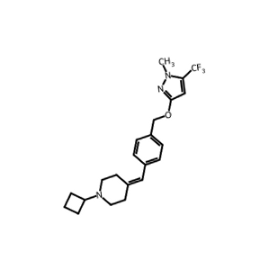 Cn1nc(OCc2ccc(C=C3CCN(C4CCC4)CC3)cc2)cc1C(F)(F)F